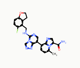 Cc1ccc(-c2cnc(NCc3c(F)ccc4c3CCO4)n3cnnc23)c2ncc(C(N)=O)n12